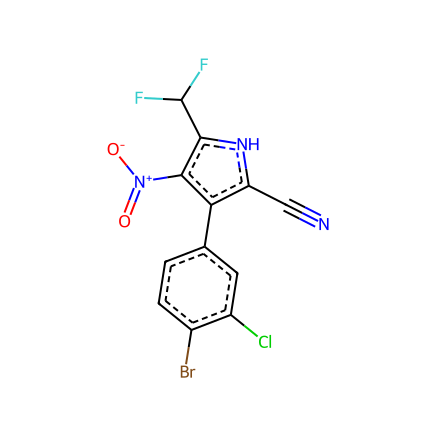 N#Cc1[nH]c(C(F)F)c([N+](=O)[O-])c1-c1ccc(Br)c(Cl)c1